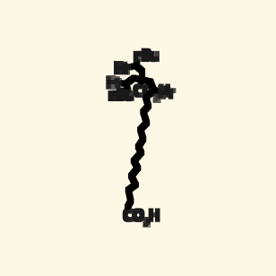 CCCCC(CC)CC(CC(CC)CCCC)(CC(CCCCCCCCCCCCCCCC(=O)O)C(C)C)C(=O)O